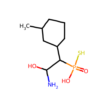 CC1CCCC(C(C(N)O)P(=O)(O)S)C1